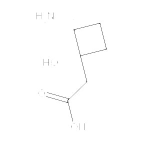 N[C@@H]1CC[C@@]1(O)CC(=O)O